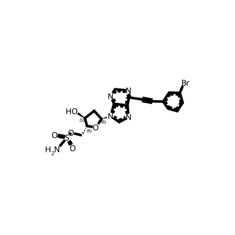 NS(=O)(=O)OC[C@H]1O[C@@H](n2cnc3c(C#Cc4cccc(Br)c4)ncnc32)C[C@@H]1O